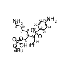 CCC(C)OP(=O)(O)OCC(CCCCN)N(CC(C)C)S(=O)(=O)c1ccc(N)cc1